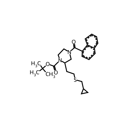 CC(C)(C)OC(=O)N1CCN(C(=O)c2cccc3ccccc23)CC1CCSCC1CC1